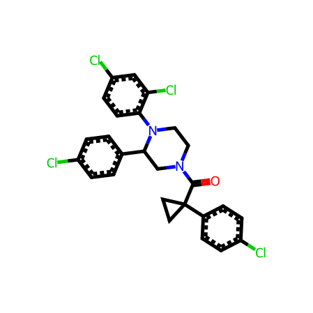 O=C(N1CCN(c2ccc(Cl)cc2Cl)C(c2ccc(Cl)cc2)C1)C1(c2ccc(Cl)cc2)CC1